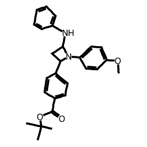 COc1ccc(N2C(Nc3ccccc3)CC2c2ccc(C(=O)OC(C)(C)C)cc2)cc1